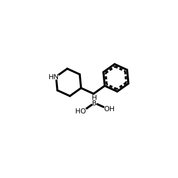 OBO.c1ccc(CC2CCNCC2)cc1